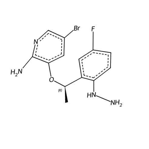 C[C@@H](Oc1cc(Br)cnc1N)c1cc(F)ccc1NN